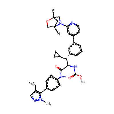 Cc1cnn(C)c1-c1ccc(NC(=O)[C@H](NC(=O)OC(C)(C)C)[C@@H](c2cccc(-c3ccnc(N4C[C@@H]5C[C@H]4CO5)c3)c2)C2CC2)cc1